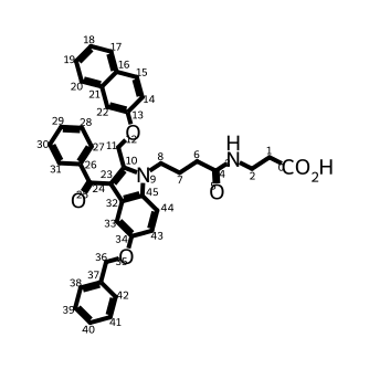 O=C(O)CCNC(=O)CCCn1c(COc2ccc3ccccc3c2)c(C(=O)c2ccccc2)c2cc(OCc3ccccc3)ccc21